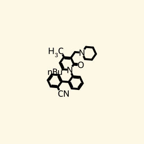 CCCCc1cc(C)c(CN2CCCCC2)c(=O)n1-c1ccccc1-c1ccccc1C#N